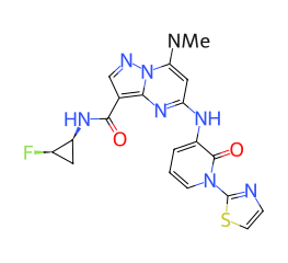 CNc1cc(Nc2cccn(-c3nccs3)c2=O)nc2c(C(=O)N[C@H]3C[C@H]3F)cnn12